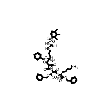 Cc1ccc(S(=O)(=O)NC(=N)NCCC[C@@](N)(OCc2ccccc2)C(=O)C2C(=O)N([C@H](C(=O)N[C@@H](CCCCN)C(=O)OCc3ccccc3)C(OCc3ccccc3)C(=O)O)C2=O)c(C)c1C